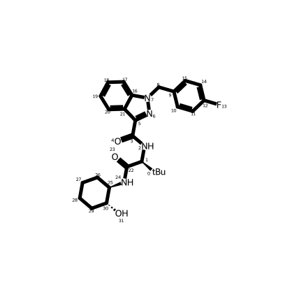 CC(C)(C)[C@H](NC(=O)c1nn(Cc2ccc(F)cc2)c2ccccc12)C(=O)N[C@@H]1CCCC[C@H]1O